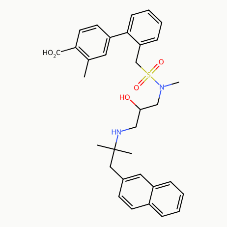 Cc1cc(-c2ccccc2CS(=O)(=O)N(C)CC(O)CNC(C)(C)Cc2ccc3ccccc3c2)ccc1C(=O)O